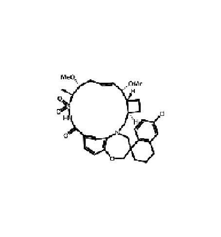 CO[C@H]1/C=C/C[C@@H](OC)[C@H](C)S(=O)(=O)NC(=O)c2ccc3c(c2)N(C[C@@H]2CC[C@H]21)C[C@@]1(CCCc2cc(Cl)ccc21)CO3